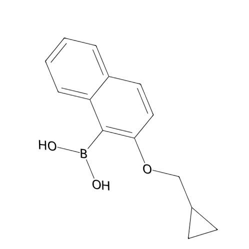 OB(O)c1c(OCC2CC2)ccc2ccccc12